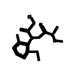 CCc1cccc(C)c1N(CC(=O)N(C)OC)C(=O)CCl